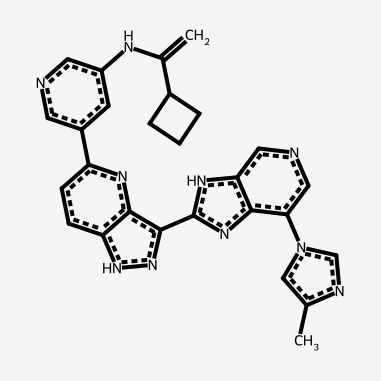 C=C(Nc1cncc(-c2ccc3[nH]nc(-c4nc5c(-n6cnc(C)c6)cncc5[nH]4)c3n2)c1)C1CCC1